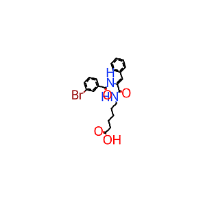 O=C(O)CCCCCNC(=O)C(=Cc1ccccc1)NC(=O)c1cccc(Br)c1